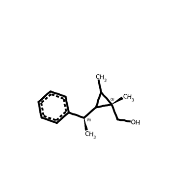 CC1C([C@@H](C)c2ccccc2)[C@@]1(C)CO